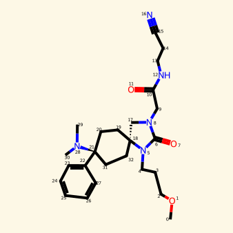 COCCCN1C(=O)N(CC(=O)NCCC#N)C[C@]12CC[C@](c1ccccc1)(N(C)C)CC2